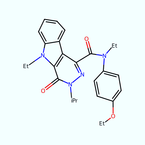 CCOc1ccc(N(CC)C(=O)c2nn(C(C)C)c(=O)c3c2c2ccccc2n3CC)cc1